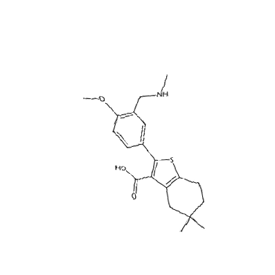 CNCc1cc(-c2sc3c(c2C(=O)O)CC(C)(C)CC3)ccc1OC